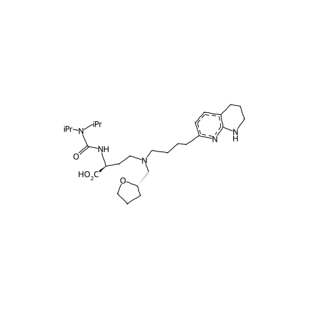 CC(C)N(C(=O)N[C@@H](CCN(CCCCc1ccc2c(n1)NCCC2)C[C@@H]1CCCO1)C(=O)O)C(C)C